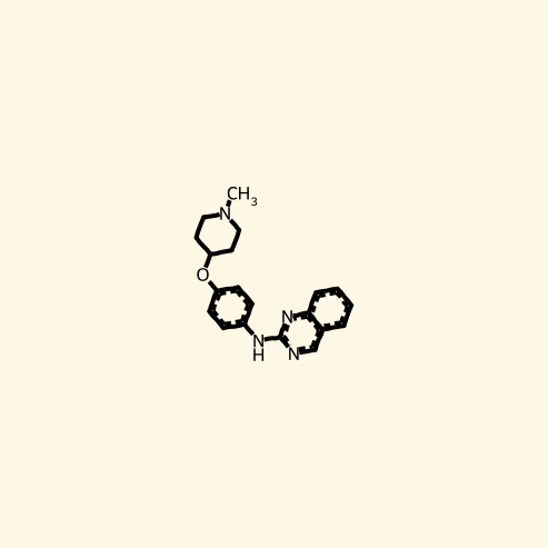 CN1CCC(Oc2ccc(Nc3ncc4ccccc4n3)cc2)CC1